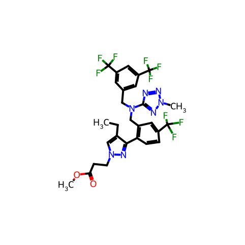 CCc1cn(CCC(=O)OC)nc1-c1ccc(C(F)(F)F)cc1CN(Cc1cc(C(F)(F)F)cc(C(F)(F)F)c1)c1nnn(C)n1